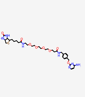 Nc1ccnc(OCc2ccc(CNC(=O)CCOCCOCCOCCOCCNC(=O)CCCCC3SCC4NC(=O)NC43)cc2)n1